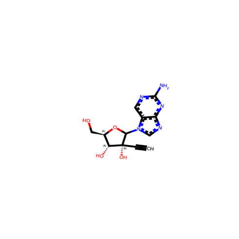 C#C[C@]1(O)C(n2cnc3nc(N)ncc32)O[C@H](CO)[C@H]1O